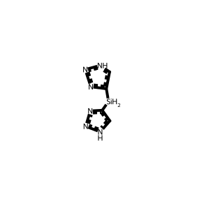 c1[nH]nnc1[SiH2]c1c[nH]nn1